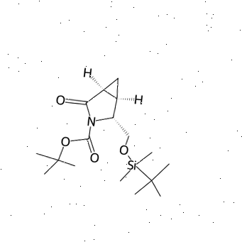 CC(C)(C)OC(=O)N1C(=O)[C@H]2C[C@H]2[C@@H]1CO[Si](C)(C)C(C)(C)C